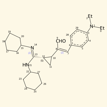 CCN(CC)c1ccc(/C=C(\C=O)C2C[C@@H]2/C(=N/C2CCCCC2)NC2CCCCC2)cc1